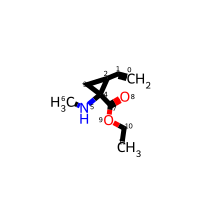 C=CC1CC1(NC)C(=O)OCC